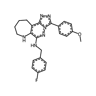 COc1ccc(-c2nnc3c4c(c(NCc5ccc(F)cc5)nn23)NCCCC4)cc1